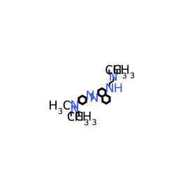 CCN(CC)CCNc1ccc(N=Nc2ccc(N(CC)N(CC)CC)cc2)c2ccccc12